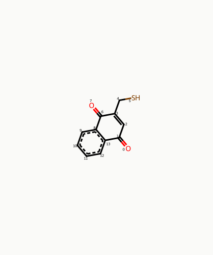 O=C1C=C(CS)C(=O)c2ccccc21